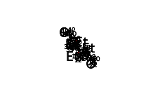 CCC(C)(C)c1cc(-c2cc(C(C)(C)CC)c(OCCCC(C)C3CO3)c(C(C)(C)CC)c2)cc(C(C)(C)CC)c1OCCCC(C)C1CO1